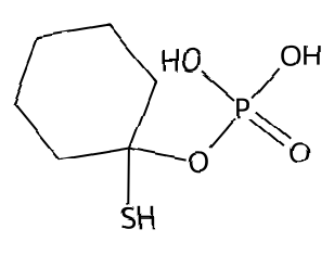 O=P(O)(O)OC1(S)CCCCC1